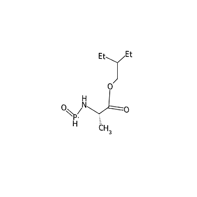 CCC(CC)COC(=O)[C@H](C)N[PH]=O